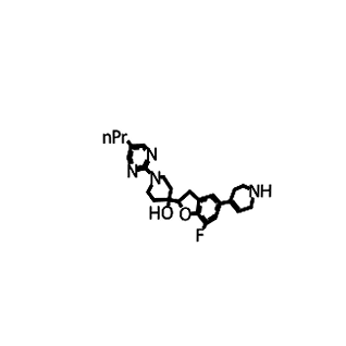 CCCc1cnc(N2CCC(O)(C3Cc4cc(C5=CCNCC5)cc(F)c4O3)CC2)nc1